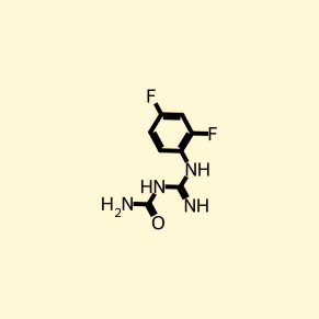 N=C(NC(N)=O)Nc1ccc(F)cc1F